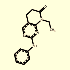 CCN1C(=O)CCc2cnc(Nc3ccccc3)nc21